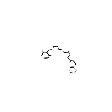 COc1cncc(Cl)c1CNC(CCOCC(C)CCc1ccc2c(n1)NCCC2)C(=O)O